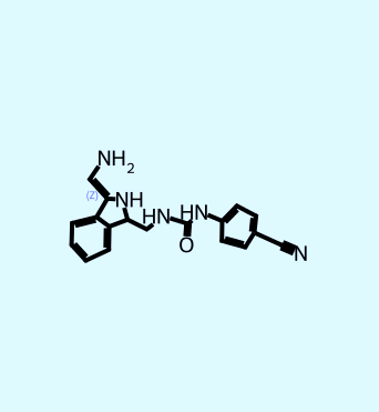 N#Cc1ccc(NC(=O)NCC2N/C(=C\N)c3ccccc32)cc1